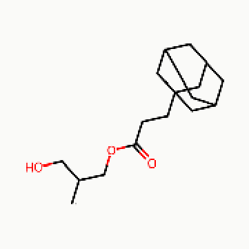 [CH2]C(CO)COC(=O)CCC12CC3CC(CC(C3)C1)C2